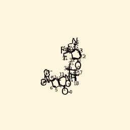 COC(=O)c1ccc([N+](=O)[O-])cc1CNC1C(C)(C)C(Oc2ccc(C#N)c(C(F)(F)F)c2)C1(C)C